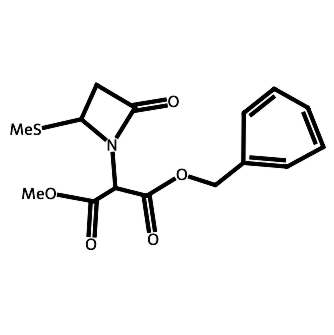 COC(=O)C(C(=O)OCc1ccccc1)N1C(=O)CC1SC